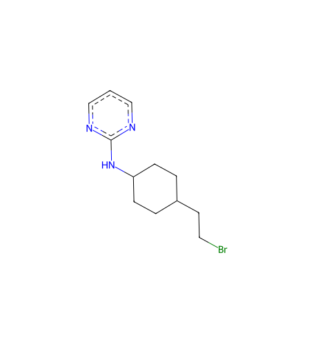 BrCCC1CCC(Nc2ncccn2)CC1